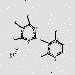 Cc1cc[si-]c(C)c1C.Cc1cc[si-]c(C)c1C.[Na+].[Na+]